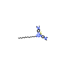 CCCCCCCCCCCCCCCCN1CN(c2ccc(N(CC)CC)cc2)C(=S)N(c2ccc(N(CC)CC)cc2)C1